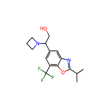 CC(C)c1nc2cc(C(CO)N3CCC3)cc(C(F)(F)F)c2o1